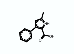 Cc1cc(-c2ccccc2)c(C(=O)O)[nH]1